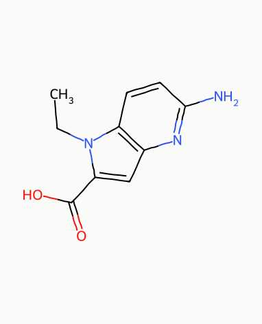 CCn1c(C(=O)O)cc2nc(N)ccc21